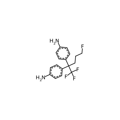 Nc1ccc(C(CCCF)(c2ccc(N)cc2)C(F)(F)F)cc1